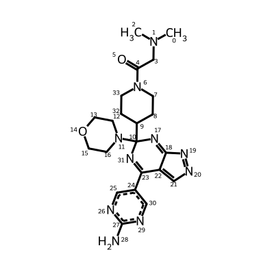 CN(C)CC(=O)N1CCC(C2(N3CCOCC3)N=C3N=NC=C3C(c3cnc(N)nc3)=N2)CC1